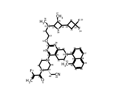 C=C(F)C(=O)N1CCN(c2nc(OCCN(C)C3SC(C4CC(F)(F)C4)[C@@H]3C)nc3c2CCN(c2cccc4cccc(C)c24)C3)C[C@@H]1CC#N